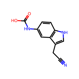 N#CCc1c[nH]c2ccc(NC(=O)O)cc12